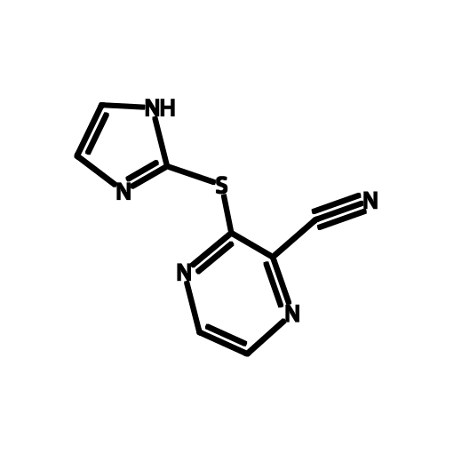 N#Cc1nccnc1Sc1ncc[nH]1